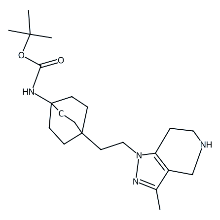 Cc1nn(CCC23CCC(NC(=O)OC(C)(C)C)(CC2)CC3)c2c1CNCC2